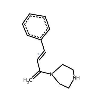 C=C(/C=C/c1ccccc1)N1CCNCC1